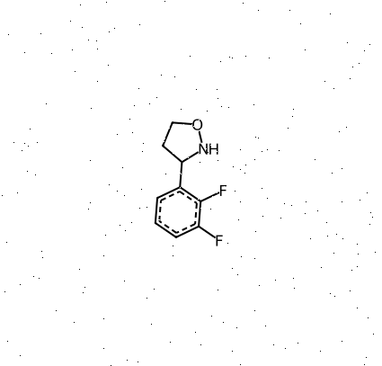 Fc1cccc(C2CCON2)c1F